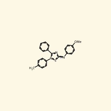 COc1ccc(/N=c2\nc(-c3ccccc3)n(-c3ccc(C)cc3)s2)cc1